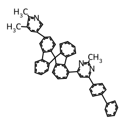 Cc1nc(-c2ccc(-c3ccccc3)cc2)cc(-c2cccc3c2-c2ccccc2C32c3ccccc3-c3cc(-c4cnc(C)c(C)c4)ccc32)n1